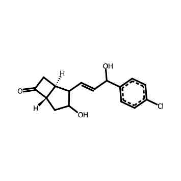 O=C1C[C@H]2C(C=CC(O)c3ccc(Cl)cc3)C(O)C[C@H]12